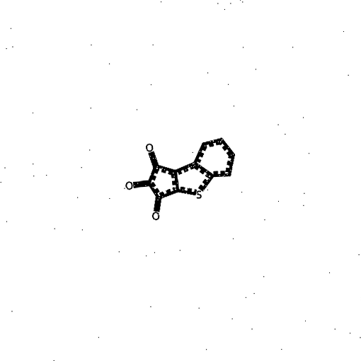 O=c1c(=O)c2sc3ccccc3c2c1=O